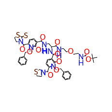 CC(C)(C)OC(=O)NCCOCCNC(=O)C(CNC(=O)c1ccc(C(=O)N2CCSC2=S)n(OCc2ccccc2)c1=O)NC(=O)c1ccc(C(=O)N2CCSC2)n(OCc2ccccc2)c1=O